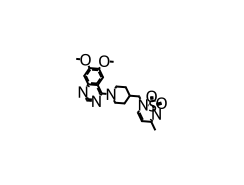 COc1cc2ncnc(N3CCC(CN4C=CC(C)=NS4(=O)=O)CC3)c2cc1OC